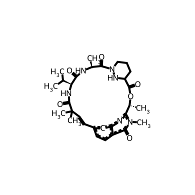 CC(C)[C@@H]1NC(=O)C(C)(C)/C=C/c2ccc3c(=O)n(C)c(nc3c2)[C@@H](C)OC(=O)C2CCCN(N2)C(=O)[C@H](C)NC1=O